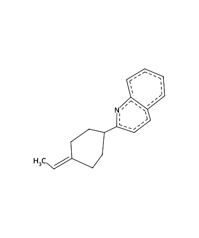 CC=C1CCC(c2ccc3ccccc3n2)CC1